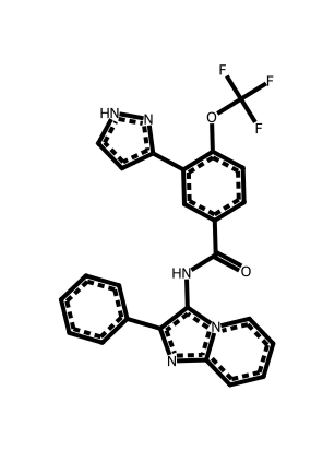 O=C(Nc1c(-c2ccccc2)nc2ccccn12)c1ccc(OC(F)(F)F)c(-c2cc[nH]n2)c1